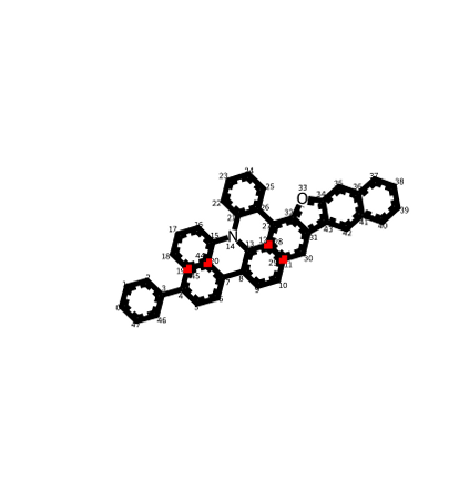 c1ccc(-c2ccc(-c3ccccc3N(c3ccccc3)c3ccccc3-c3cccc4c3oc3cc5ccccc5cc34)cc2)cc1